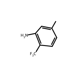 Cc1ccc(C(F)(F)F)c(N)c1